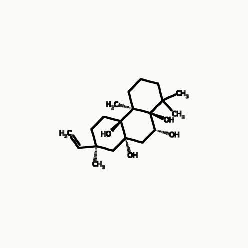 C=C[C@@]1(C)CC[C@@]2(O)[C@@](O)(C[C@@H](O)[C@@]3(O)C(C)(C)CCC[C@]23C)C1